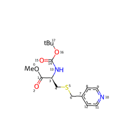 COC(=O)[C@H](CSCc1ccncc1)NC(=O)OC(C)(C)C